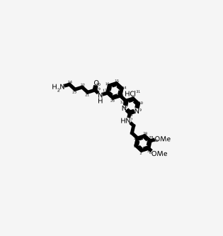 COc1ccc(CCNc2nccc(-c3cccc(NC(=O)CCCCN)c3)n2)cc1OC.Cl